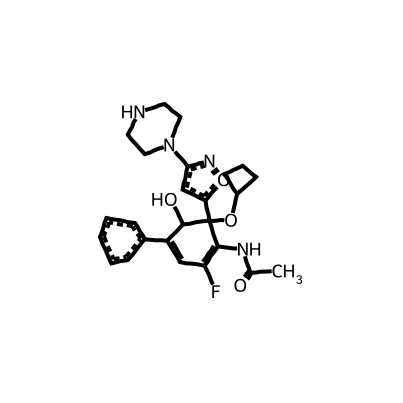 CC(=O)NC1=C(F)C=C(c2ccccc2)C(O)C1(OC1CCC1)c1cc(N2CCNCC2)no1